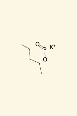 CCCCC.O=P[O-].[K+]